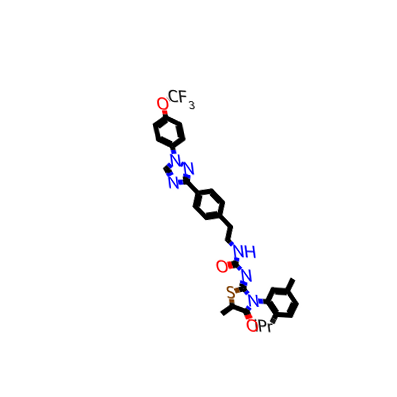 Cc1ccc(C(C)C)c(N2C(=O)C(C)S/C2=N\C(=O)NCCc2ccc(-c3ncn(-c4ccc(OC(F)(F)F)cc4)n3)cc2)c1